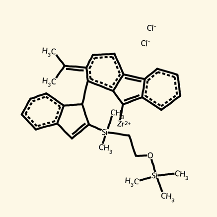 CC(C)=c1ccc2c(c1C1C([Si](C)(C)CCO[Si](C)(C)C)=Cc3ccccc31)[C]([Zr+2])=c1ccccc1=2.[Cl-].[Cl-]